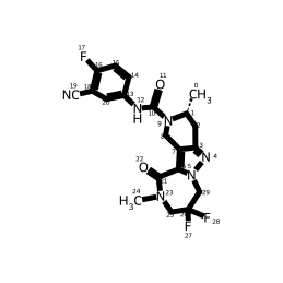 C[C@@H]1Cc2nn3c(c2CN1C(=O)Nc1ccc(F)c(C#N)c1)C(=O)N(C)CC(F)(F)C3